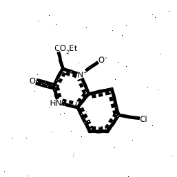 CCOC(=O)c1c(=O)[nH]c2ccc(Cl)cc2[n+]1[O-]